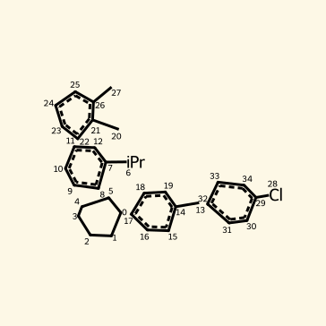 C1CCCCC1.CC(C)c1ccccc1.Cc1ccccc1.Cc1ccccc1C.Clc1ccccc1